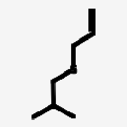 C=CCSC[C](C)C